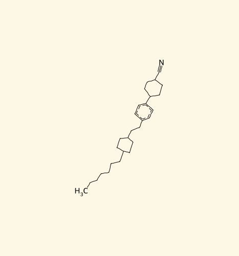 CCCCCCCC1CCC(CCc2ccc(C3CCC(C#N)CC3)cc2)CC1